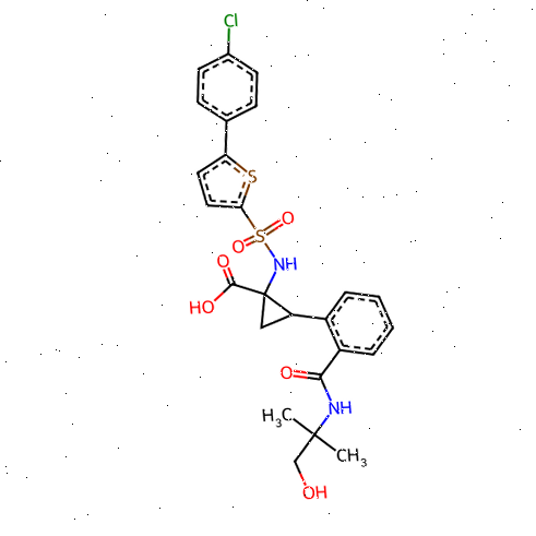 CC(C)(CO)NC(=O)c1ccccc1C1CC1(NS(=O)(=O)c1ccc(-c2ccc(Cl)cc2)s1)C(=O)O